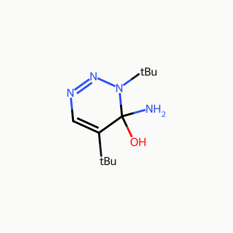 CC(C)(C)C1=CN=NN(C(C)(C)C)C1(N)O